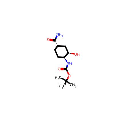 CC(C)(C)OC(=O)N[C@H]1CC[C@H](C(N)=O)C[C@H]1O